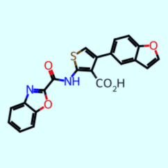 O=C(Nc1scc(-c2ccc3occc3c2)c1C(=O)O)c1nc2ccccc2o1